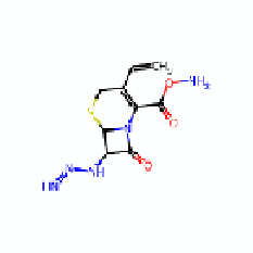 C=CC1=C(C(=O)ON)N2C(=O)[C@@H](NN=N)C2SC1